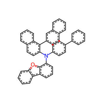 c1ccc(-c2ccc(N(c3ccc4ccccc4c3-c3ccc4ccccc4c3)c3cccc4c3oc3ccccc34)cc2)cc1